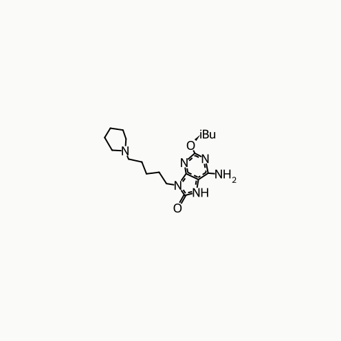 CC[C@H](C)Oc1nc(N)c2[nH]c(=O)n(CCCCCN3CCCCC3)c2n1